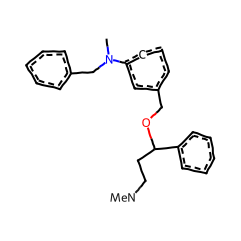 CNCCC(OCc1cccc(N(C)Cc2ccccc2)c1)c1ccccc1